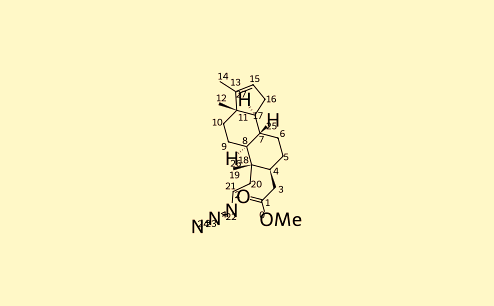 COC(=O)C[C@@H]1CC[C@@H]2[C@H](CC[C@]3(C)C(C)=CC[C@@H]23)[C@@]1(C)CCN=[N+]=[N-]